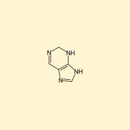 C1=NCNc2[nH]cnc21